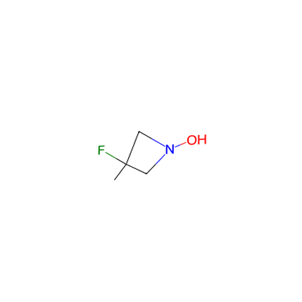 CC1(F)CN(O)C1